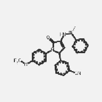 C[C@@H](NC1=CC(c2cccc(C#N)c2)N(c2ccc(OC(F)(F)F)cc2)C1=O)c1ccccc1